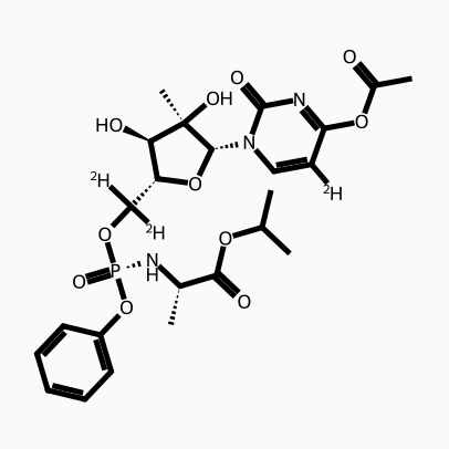 [2H]c1cn([C@@H]2O[C@H](C([2H])([2H])O[P@@](=O)(N[C@@H](C)C(=O)OC(C)C)Oc3ccccc3)[C@@H](O)[C@@]2(C)O)c(=O)nc1OC(C)=O